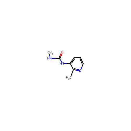 CNC(=O)Nc1cccnc1C